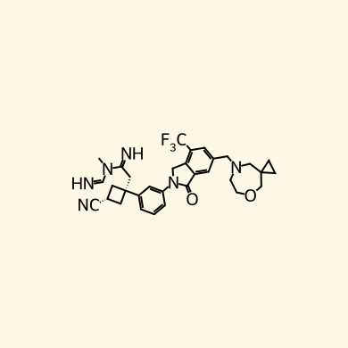 CN(C=N)C(=N)C[C@]1(c2cccc(N3Cc4c(cc(CN5CCOCC6(CC6)C5)cc4C(F)(F)F)C3=O)c2)C[C@H](C#N)C1